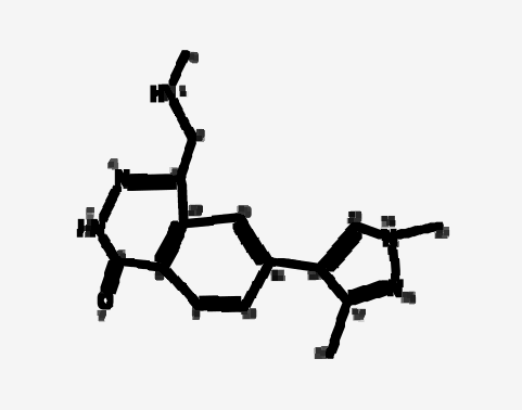 CNCc1n[nH]c(=O)c2ccc(-c3cn(C)nc3C)cc12